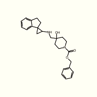 O=C(OCc1ccccc1)N1CCC(O)(CNC2CC23CCc2ccccc23)CC1